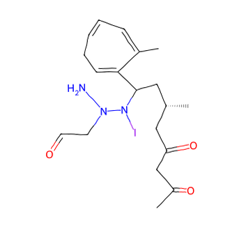 CC(=O)CC(=O)C[C@@H](C)CC(C1=CCC=CC=C1C)N(I)N(N)CC=O